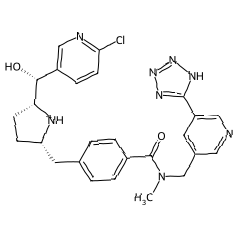 CN(Cc1cncc(-c2nnn[nH]2)c1)C(=O)c1ccc(C[C@@H]2CC[C@H]([C@H](O)c3ccc(Cl)nc3)N2)cc1